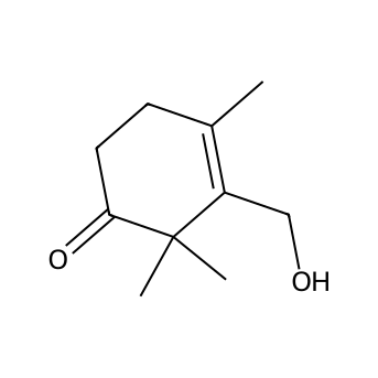 CC1=C(CO)C(C)(C)C(=O)CC1